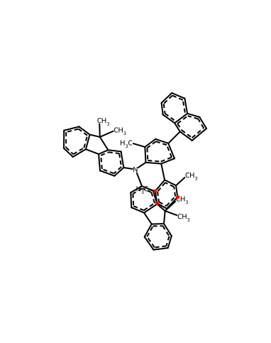 Cc1cccc(C)c1-c1cc(-c2cccc3ccccc23)cc(C)c1N(c1ccc2c(c1)C(C)(C)c1ccccc1-2)c1ccc2c(c1)C(C)(C)c1ccccc1-2